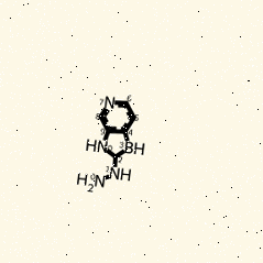 NNC1Bc2ccncc2N1